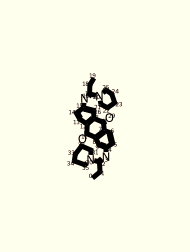 CCC(=Nc1ccc2c(c1)C(=O)c1ccc(N=C(CC)N3CCCCC3)cc1C2=O)N1CCCCC1